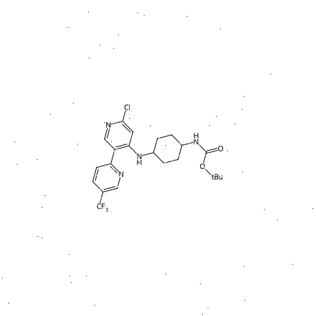 CC(C)(C)OC(=O)NC1CCC(Nc2cc(Cl)ncc2-c2ccc(C(F)(F)F)cn2)CC1